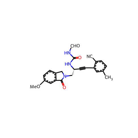 COc1ccc2c(c1)C(=O)N(C[C@@H](C#Cc1cc(C)ccc1C#N)NC(=O)NC=O)C2